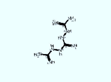 N=C(N)NNC(=N)NNC(=N)N